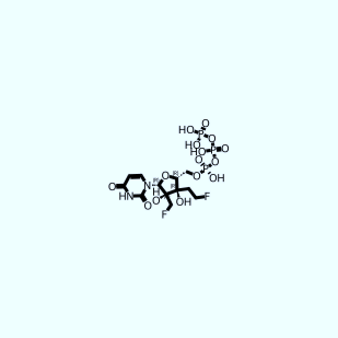 O=c1ccn([C@@H]2O[C@H](COP(=O)(O)OP(=O)(O)OP(=O)(O)O)[C@](O)(CCF)[C@]2(O)CF)c(=O)[nH]1